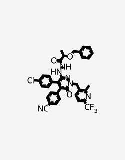 Cc1nc(C(F)(F)F)ccc1Cn1nc(NNC(=O)C(C)OCc2ccccc2)c(-c2ccc(Cl)cc2)c(-c2ccc(C#N)cc2)c1=O